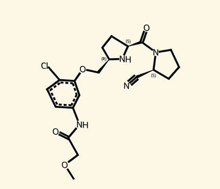 COCC(=O)Nc1ccc(Cl)c(OC[C@H]2CC[C@@H](C(=O)N3CCC[C@H]3C#N)N2)c1